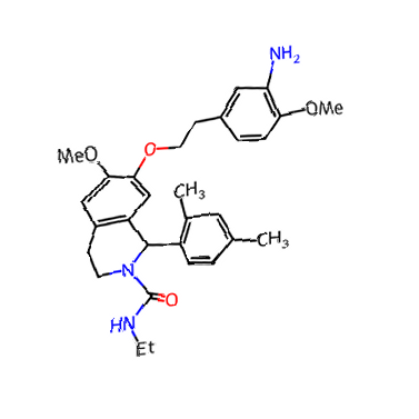 CCNC(=O)N1CCc2cc(OC)c(OCCc3ccc(OC)c(N)c3)cc2C1c1ccc(C)cc1C